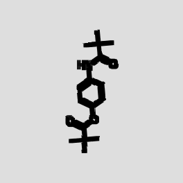 CC(C)(C)C(=O)Nc1ccc(OC(=O)C(C)(C)C)cc1